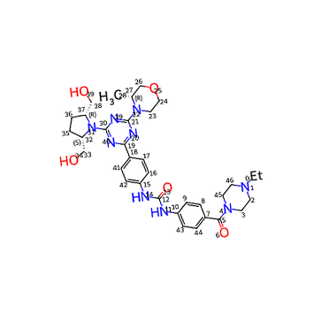 CCN1CCN(C(=O)c2ccc(NC(=O)Nc3ccc(-c4nc(N5CCOC[C@H]5C)nc(N5[C@H](CO)CC[C@@H]5CO)n4)cc3)cc2)CC1